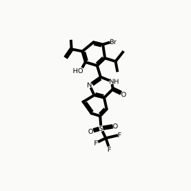 C=C(C)c1cc(Br)c(C(C)C)c(-c2nc3ccc(S(=O)(=O)C(F)(F)F)cc3c(=O)[nH]2)c1O